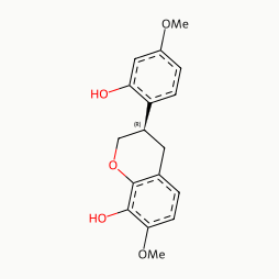 COc1ccc([C@@H]2COc3c(ccc(OC)c3O)C2)c(O)c1